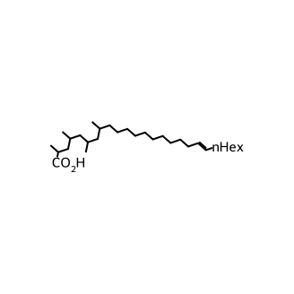 CCCCCC/C=C/CCCCCCCCCCC(C)CC(C)CC(C)CC(C)C(=O)O